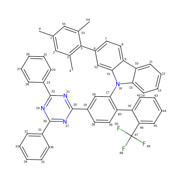 Cc1cc(C)c(-c2ccc3c4ccccc4n(-c4cc(-c5nc(-c6ccccc6)nc(-c6ccccc6)n5)ccc4-c4ccccc4C(F)(F)F)c3c2)c(C)c1